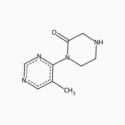 Cc1cn[c]nc1N1CCNCC1=O